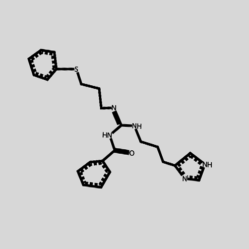 O=C(NC(=NCCCSc1ccccc1)NCCCc1c[nH]cn1)c1ccccc1